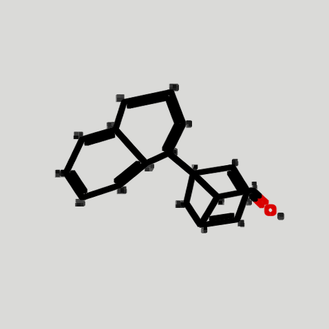 O=CC1C2=CC=CC1(C1=C=C=Cc3ccccc31)C2